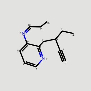 C#CC(CC)Cc1ncccc1/N=C\CC